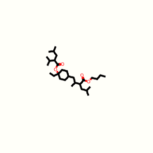 CCCCOC(=O)C(CC(C)C)C(C)CC1CCC(CC)(OC(=O)C(CC(C)C)C(C)C)CC1